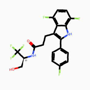 O=C(CCc1c(-c2ccc(F)cc2)[nH]c2c(F)ccc(F)c12)N[C@@H](CO)C(F)(F)F